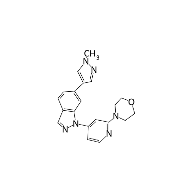 Cn1cc(-c2ccc3cnn(-c4ccnc(N5CCOCC5)c4)c3c2)cn1